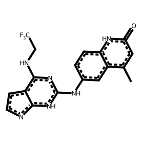 Cc1cc(=O)[nH]c2ccc(Nc3nc(NCC(F)(F)F)c4ccnc-4[nH]3)cc12